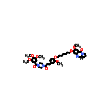 COc1cc(C=CC(=O)N2CCN(C(=O)c3cc(OC)c(OC)c(OC)c3)CC2)ccc1OCCCCCCCOc1cc2c(cc1OC)C(=O)N1CCC[C@H]1C=N2